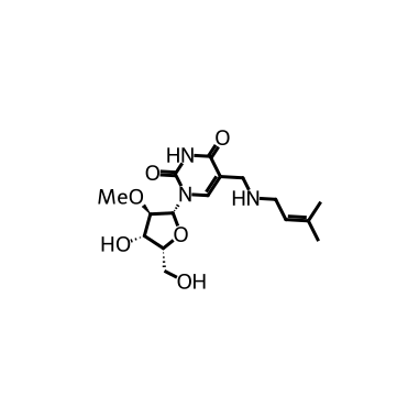 CO[C@@H]1[C@@H](O)[C@@H](CO)O[C@H]1n1cc(CNCC=C(C)C)c(=O)[nH]c1=O